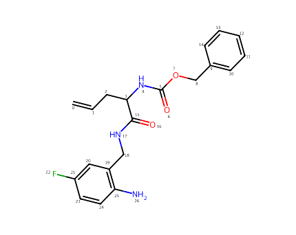 C=CCC(NC(=O)OCc1ccccc1)C(=O)NCc1cc(F)ccc1N